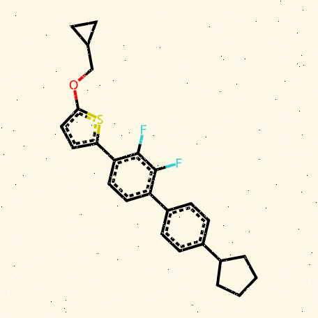 Fc1c(-c2ccc(C3CCCC3)cc2)ccc(-c2ccc(OCC3CC3)s2)c1F